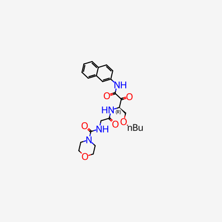 CCCCOC[C@@H](NC(=O)CNC(=O)N1CCOCC1)C(=O)C(=O)Nc1ccc2ccccc2c1